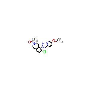 O=C(N1CCc2ccc(Cl)c(NCc3ccc(OCC(F)(F)F)cn3)c2CC1)C(F)(F)F